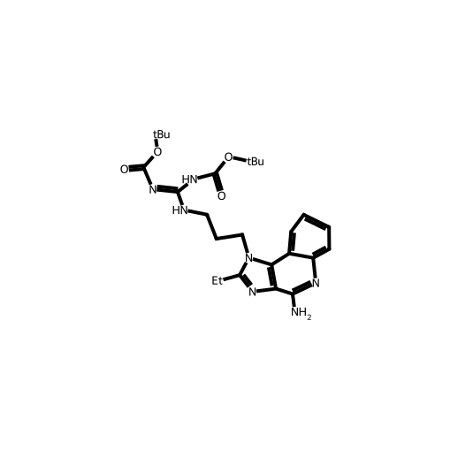 CCc1nc2c(N)nc3ccccc3c2n1CCCNC(=NC(=O)OC(C)(C)C)NC(=O)OC(C)(C)C